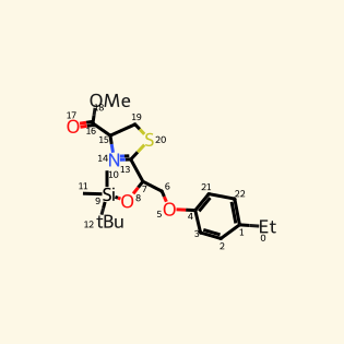 CCc1ccc(OCC(O[Si](C)(C)C(C)(C)C)C2=NC(C(=O)OC)CS2)cc1